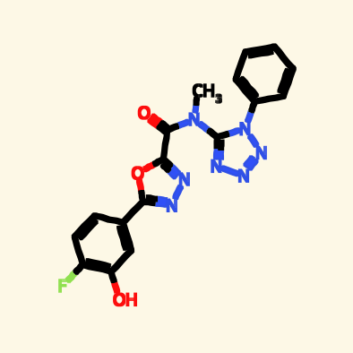 CN(C(=O)c1nnc(-c2ccc(F)c(O)c2)o1)c1nnnn1-c1ccccc1